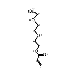 C=CC(=O)OCCOCCOCC(C)(C)C